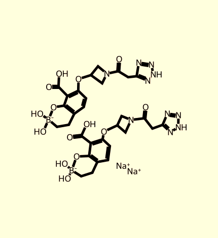 O=C(O)c1c(OC2CN(C(=O)Cc3nn[nH]n3)C2)ccc2c1O[B-](O)(O)CC2.O=C(O)c1c(OC2CN(C(=O)Cc3nn[nH]n3)C2)ccc2c1O[B-](O)(O)CC2.[Na+].[Na+]